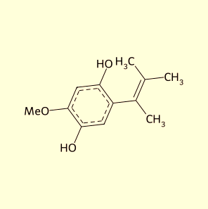 COc1cc(O)c(C(C)=C(C)C)cc1O